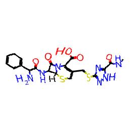 CNC(=O)c1nc(SCC2=C(C(=O)O)N3C(=O)C(NC(=O)C(N)C4=CCC=CC4)[C@H]3SC2)n[nH]1